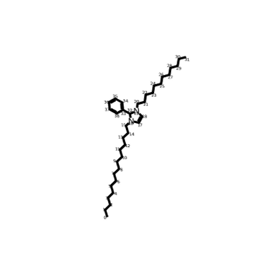 CCCCCCCCCCCCCCCCN1C=CN(CCCCCCCCCCCC)C1c1ccccc1